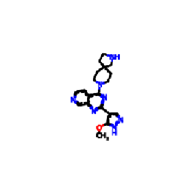 COc1[nH]ncc1-c1nc(N2CCC3(CCNC3)CC2)c2ccncc2n1